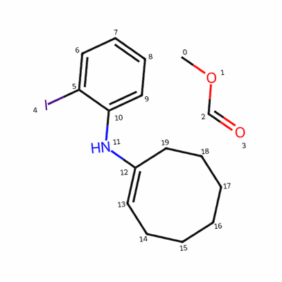 COC=O.Ic1ccccc1NC1=CCCCCCC1